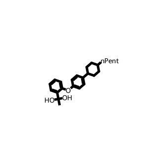 CCCCCC1CCC(c2ccc(Oc3ccccc3C(C)(O)O)cc2)CC1